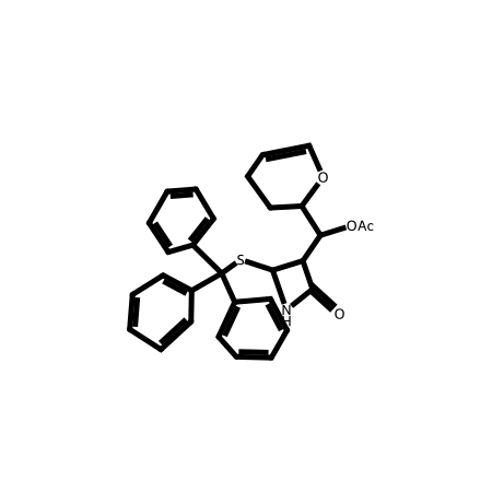 CC(=O)OC(C1CCC=CO1)C1C(=O)NC1SC(c1ccccc1)(c1ccccc1)c1ccccc1